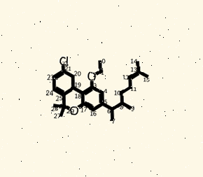 CCOc1cc(C(C)C(C)CCC=C(C)C)cc2c1C1CC(Cl)=CC=C1C(C)(C)O2